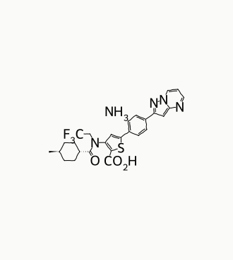 C[C@H]1CC[C@H](C(=O)N(CC(F)(F)F)c2cc(-c3ccc(-c4cc5ncccn5n4)cc3)sc2C(=O)O)CC1.N